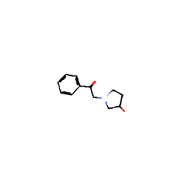 O=C(CN1CCC(O)C1)c1ccccc1